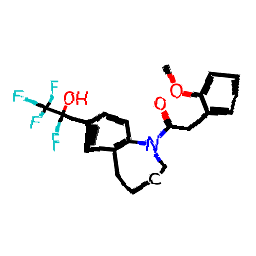 COc1ccccc1CC(=O)N1CCCCc2cc(C(O)(F)C(F)(F)F)ccc21